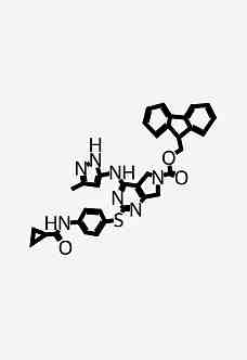 Cc1cc(Nc2nc(Sc3ccc(NC(=O)C4CC4)cc3)nc3c2CN(C(=O)OCC2c4ccccc4-c4ccccc42)C3)[nH]n1